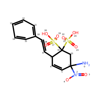 NC1([N+](=O)[O-])C=CC(C=Cc2ccccc2)C(S(=O)(=O)O)(S(=O)(=O)O)C1